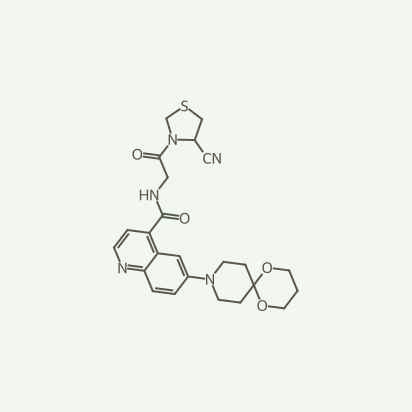 N#CC1CSCN1C(=O)CNC(=O)c1ccnc2ccc(N3CCC4(CC3)OCCCO4)cc12